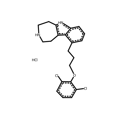 Cl.Clc1cccc(Cl)c1OCCCc1cccc2[nH]c3c(c12)CCNCC3